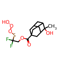 CC1(O)C2CC3CC1CC(C(=O)OCC(F)(F)SOOO)(C3)C2